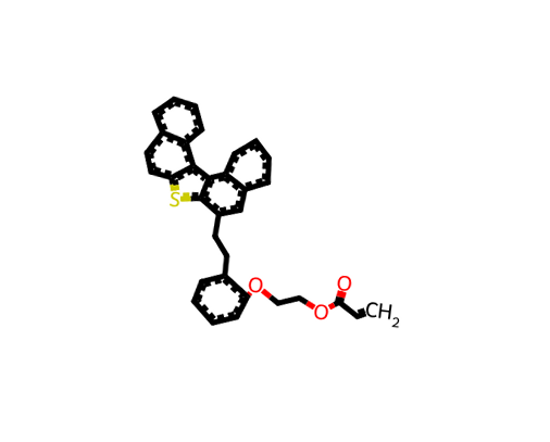 C=CC(=O)OCCOc1ccccc1CCc1cc2ccccc2c2c1sc1ccc3ccccc3c12